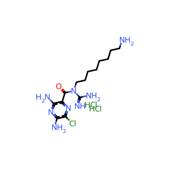 Cl.Cl.N=C(N)N(CCCCCCCCN)C(=O)c1nc(Cl)c(N)nc1N